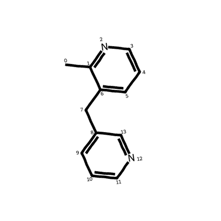 Cc1ncccc1Cc1cccnc1